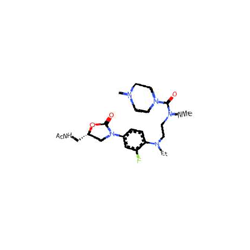 CCN(CCN(NC)C(=O)N1CCN(C)CC1)c1ccc(N2C[C@H](CNC(C)=O)OC2=O)cc1F